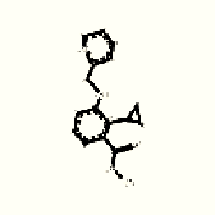 COC(=O)c1cccc(NCc2ccccn2)c1C1CC1